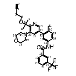 C#CCCOC(C)(C)c1ncc(-c2cc(NC(=O)c3cccc(C(F)(F)F)c3)ccc2C)cc1N1CCOCC1